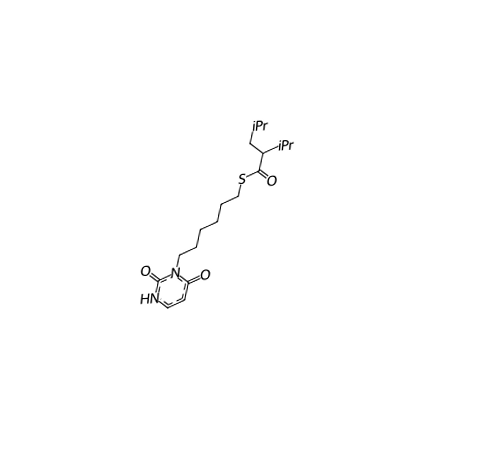 CC(C)CC(C(=O)SCCCCCCn1c(=O)cc[nH]c1=O)C(C)C